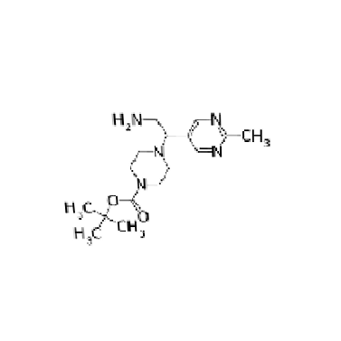 Cc1ncc(C(CN)N2CCN(C(=O)OC(C)(C)C)CC2)cn1